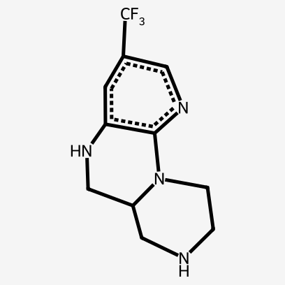 FC(F)(F)c1cnc2c(c1)NCC1CNCCN21